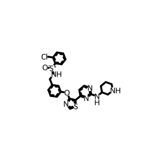 [O-][S+](NCc1cccc(Oc2ncsc2-c2ccnc(NC3CCCNC3)n2)c1)c1ccccc1Cl